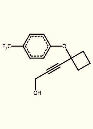 OCC#CC1(Oc2ccc(C(F)(F)F)cc2)CCC1